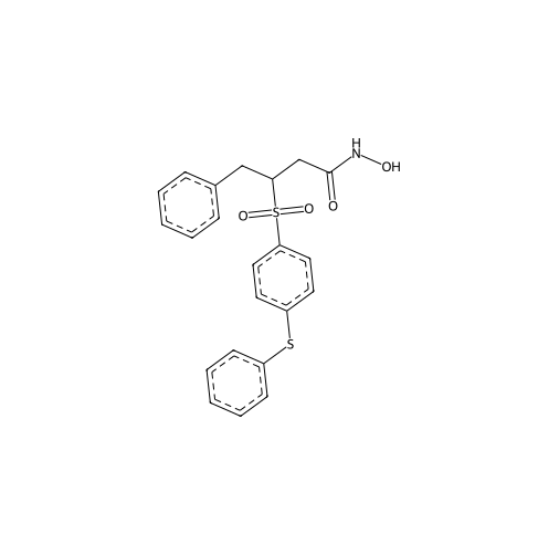 O=C(CC(Cc1ccccc1)S(=O)(=O)c1ccc(Sc2ccccc2)cc1)NO